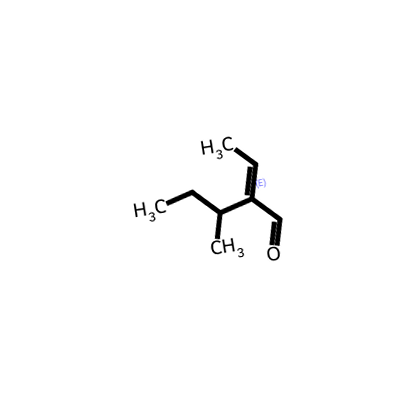 C/C=C(/C=O)C(C)CC